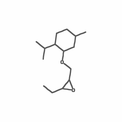 CCC1OC1COC1CC(C)CCC1C(C)C